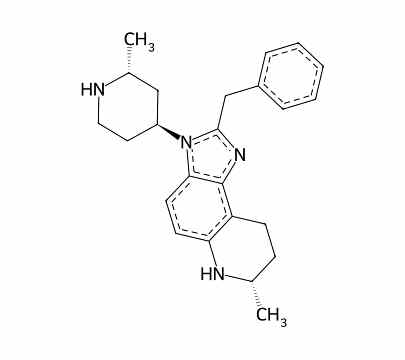 C[C@@H]1C[C@@H](n2c(Cc3ccccc3)nc3c4c(ccc32)N[C@@H](C)CC4)CCN1